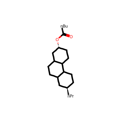 CCCCC(=O)O[C@@H]1CCC2C(CCC3C[C@H](CCC)CCC32)C1